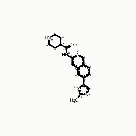 Cc1ncc(-c2ccc3cnc(NC(=O)C4CCNCC4)cc3c2)s1